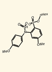 CCCCCCOS(=O)(=O)c1ccc(OC)cc1N(c1ccc(OC)cc1)[SH](=O)=O